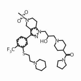 CS(=O)(=O)N1CCc2c(c(-c3ccc(C(F)(F)F)c(SCCN4CCCCC4)c3)nn2CC(O)CN2CCC(C(=O)N3CCCC3)CC2)C1